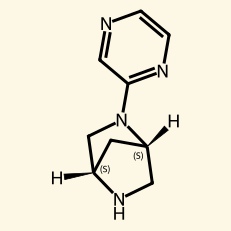 c1cnc(N2C[C@@H]3C[C@H]2CN3)cn1